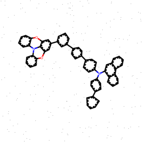 c1ccc(-c2ccc(N(c3ccc(-c4ccc(-c5cccc(-c6cc7c8c(c6)Oc6ccccc6N8c6ccccc6O7)c5)cc4)cc3)c3cc4ccccc4c4ccccc34)cc2)cc1